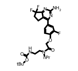 CCCN(CCNC(=O)OC(C)(C)C)C(=O)COc1ccc(-c2nc(N)nc3c2CCC3(F)F)cc1F